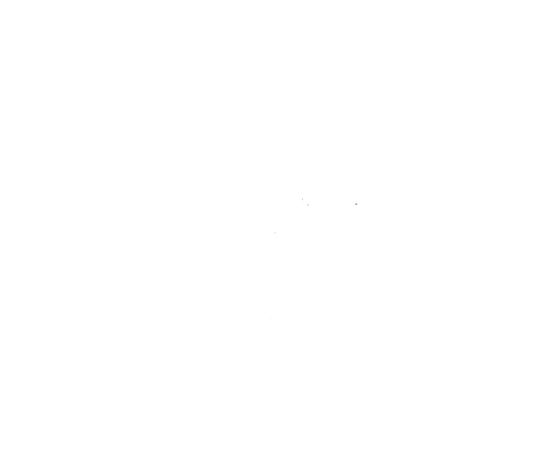 CC(C)(C)OC(=O)N[C@H](Cc1ccc2ccccc2n1)c1ccccc1